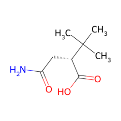 CC(C)(C)[C@@H](CC(N)=O)C(=O)O